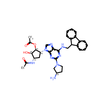 CCC(=O)N[C@H]1C[C@@H](n2cnc3c(NCC4c5ccccc5-c5ccccc54)nc(N4CC[C@@H](N)C4)nc32)[C@H](OC(=O)C(F)(F)F)[C@@H]1O